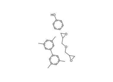 C(OCC1CO1)C1CO1.Cc1cc(C)cc(-c2cc(C)cc(C)c2)c1.Oc1ccccc1